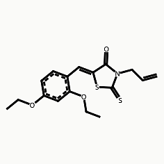 C=CCN1C(=O)C(=Cc2ccc(OCC)cc2OCC)SC1=S